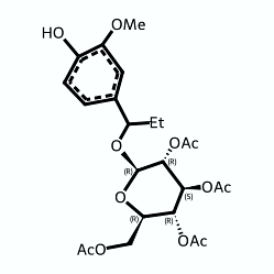 CCC(O[C@@H]1O[C@H](COC(C)=O)[C@@H](OC(C)=O)[C@H](OC(C)=O)[C@H]1OC(C)=O)c1ccc(O)c(OC)c1